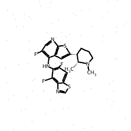 C[C@@H]1[C@H](c2cc3c(Nc4c(F)cc5scnc5c4F)c(F)cnc3s2)CCCN1C